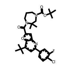 CC(C)(C)OC(=O)N1CCCN(C(=O)c2cc3nc(-c4ccc(Cl)c(F)c4)cc(C(C)(C)C)c3o2)C(C)(C)C1